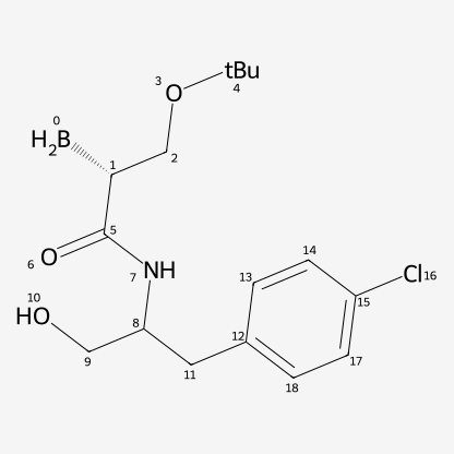 B[C@H](COC(C)(C)C)C(=O)NC(CO)Cc1ccc(Cl)cc1